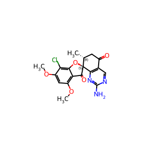 COc1cc(OC)c2c(c1Cl)O[C@]1(C2=O)c2nc(N)ncc2C(=O)C[C@H]1C